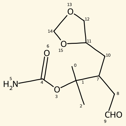 CC(C)(OC(N)=O)C(CC=O)CC1COCO1